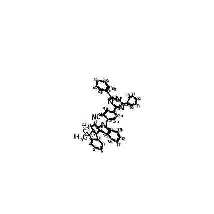 CC1(C)c2ccccc2-c2c1ccc1c2c2ccccc2n1-c1ccc(-c2nc(-c3ccccc3)nc(-c3ccccc3)n2)cc1C#N